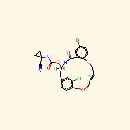 N#CC1(NC(=O)O[C@H]2Cc3ccc(c(Cl)c3)OC/C=C/COc3ccc(Br)cc3C(=O)N2)CC1